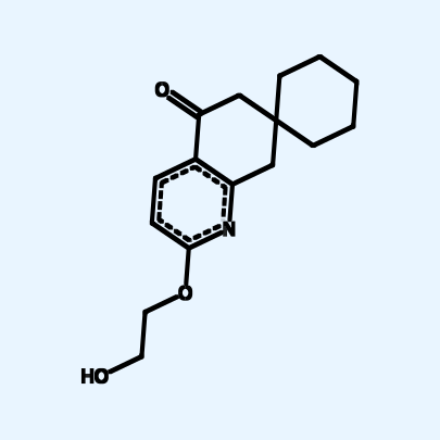 O=C1CC2(CCCCC2)Cc2nc(OCCO)ccc21